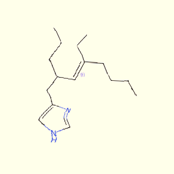 CCCC/C(=C/C(CCC)Cc1c[nH]cn1)CC